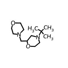 CC(C)(C)N1CCOC(CN2CCOCC2)C1